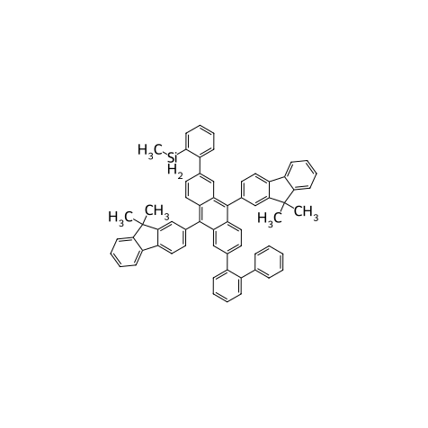 C[SiH2]c1ccccc1-c1ccc2c(-c3ccc4c(c3)C(C)(C)c3ccccc3-4)c3cc(-c4ccccc4-c4ccccc4)ccc3c(-c3ccc4c(c3)C(C)(C)c3ccccc3-4)c2c1